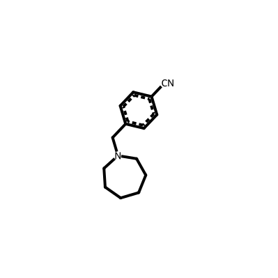 N#Cc1ccc(CN2CCCCCC2)cc1